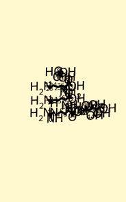 N=C(N)NCCCC(N)C(=O)O.NCCCCC(N)C(=O)O.NCCCCC(N)C(=O)O.O=P(O)(O)O.OCC(O)C(O)C(O)C(O)CO